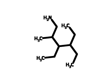 CCC(CC)C(CC)C(C)CN